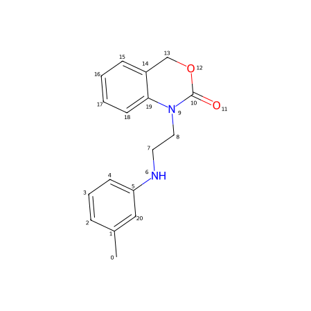 Cc1cccc(NCCN2C(=O)OCc3ccccc32)c1